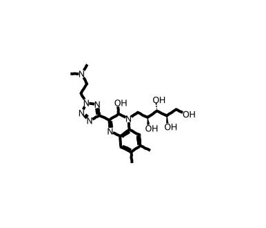 Cc1cc2c(cc1C)N(C[C@H](O)[C@H](O)[C@H](O)CO)C(O)C(c1nnn(CCN(C)C)n1)=N2